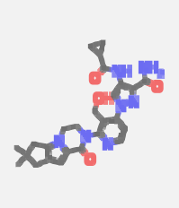 CC1(C)Cc2cc3n(c2C1)CCN(c1nccc(-n2cc(NC(=O)C4CC4)c(C(N)=O)n2)c1CO)C3=O